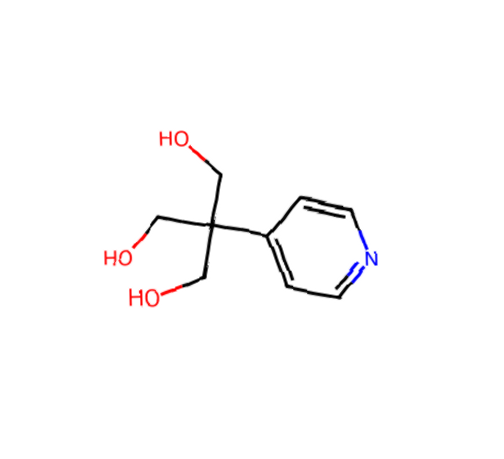 OCC(CO)(CO)c1ccncc1